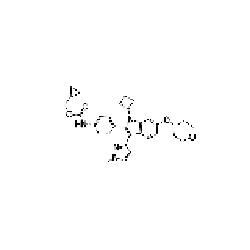 CC(OC(=O)Nc1ccc(-c2c(-c3ccn(C)n3)c3ccc(OC4CCOCC4)cc3n2C2CCC2)cc1)C1CC1